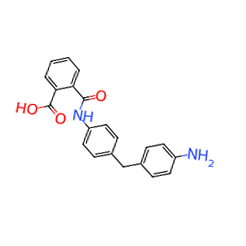 Nc1ccc(Cc2ccc(NC(=O)c3ccccc3C(=O)O)cc2)cc1